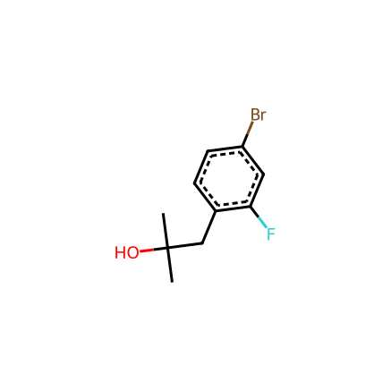 CC(C)(O)Cc1ccc(Br)cc1F